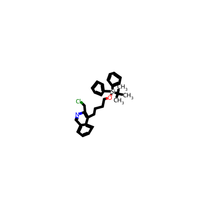 CC(C)(C)[Si](OCCCCc1c(CCl)ncc2ccccc12)(c1ccccc1)c1ccccc1